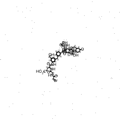 C[C@]12C=CC(=O)C=C1CC[C@H]1[C@@H]3C[C@H]4O[C@@H](c5cccc(Cc6cc(CO)cc(NC(=O)C(CCC(=O)O)NC(=O)CNC(=O)CBr)c6)c5)O[C@@]4(C(=O)COP(=O)(O)O)[C@@]3(C)C[C@H](O)[C@@]12F